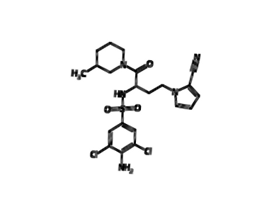 CC1CCCN(C(=O)C(CCn2cccc2C#N)NS(=O)(=O)c2cc(Cl)c(N)c(Cl)c2)C1